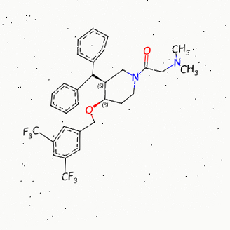 CN(C)CC(=O)N1CC[C@@H](OCc2cc(C(F)(F)F)cc(C(F)(F)F)c2)[C@@H](C(c2ccccc2)c2ccccc2)C1